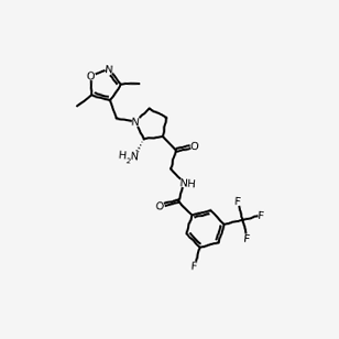 Cc1noc(C)c1CN1CCC(C(=O)CNC(=O)c2cc(F)cc(C(F)(F)F)c2)[C@@H]1N